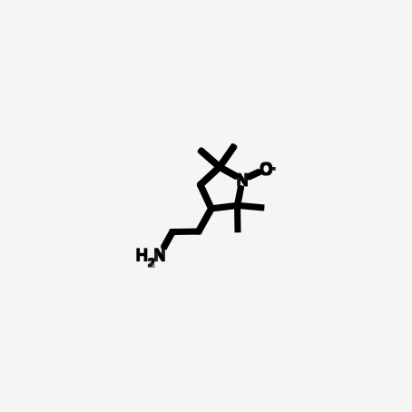 CC1(C)CC(CCN)C(C)(C)N1[O]